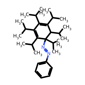 CC(C)C1=C(C(C)C)C(C(C)C)C(N=Nc2ccccc2)(C(C)C)C(C(C)C)=C1C(C)C